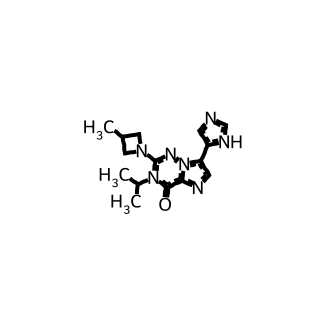 CC1CN(c2nn3c(-c4cnc[nH]4)cnc3c(=O)n2C(C)C)C1